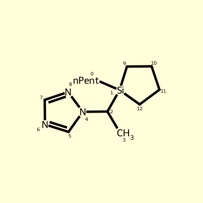 CCCCC[Si]1(C(C)n2cncn2)CCCC1